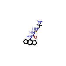 CN(C)C(C)(C)CNSNC(=O)Nc1c2c(cc3c1CCC3)CCC2